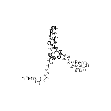 CCCCC/C=C\C/C=C\CCCCCCCC(=O)OCCN(CCOC(=O)CCCCCCC/C=C\C/C=C\CCCCC)C(=O)CN1CCN(CO)CC1